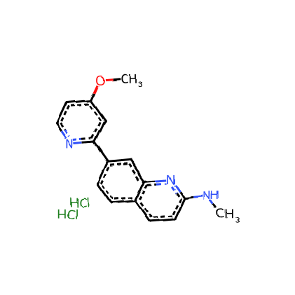 CNc1ccc2ccc(-c3cc(OC)ccn3)cc2n1.Cl.Cl